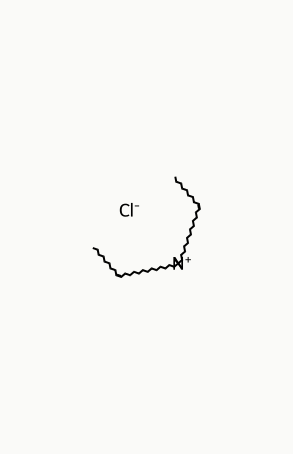 CCCCCCCC/C=C\CCCCCCCCCCCC[N+](C)(C)CCCCCCCCCCCC/C=C\CCCCCCCC.[Cl-]